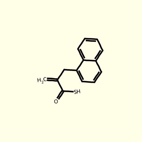 C=C(Cc1cccc2ccccc12)C(=O)S